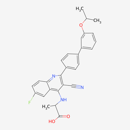 CC(C)Oc1cccc(-c2ccc(-c3nc4ccc(F)cc4c(NC(C)C(=O)O)c3C#N)cc2)c1